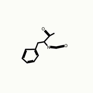 CC(=O)C(Cc1ccccc1)N=C=O